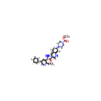 CC(C)(C)OC(=O)N1CCN(c2ccc3cc(C(=O)C(N)c4cc(-c5ccccc5)cnc4[N+](=O)[O-])cnc3c2)CC1